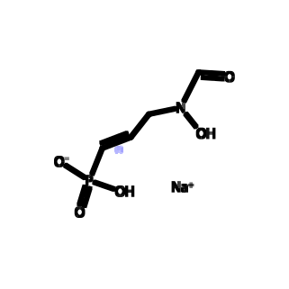 O=CN(O)C/C=C/P(=O)([O-])O.[Na+]